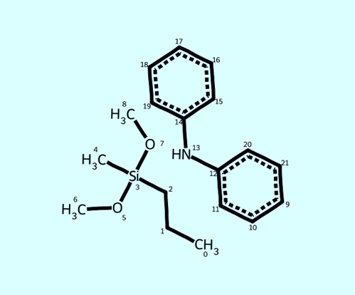 CCC[Si](C)(OC)OC.c1ccc(Nc2ccccc2)cc1